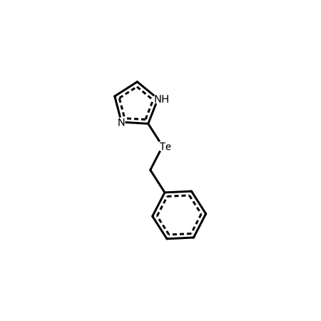 c1ccc(C[Te]c2ncc[nH]2)cc1